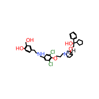 OCc1cc(CCNCc2cc(Cl)c(OCCC[N+]34CCC(CC3)[C@H](OC[C@](O)(c3ccccc3)C3CCCC3)C4)c(Cl)c2)ccc1O